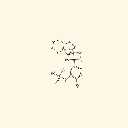 O=P(O)(O)Oc1cc(C2(O)OOC23C2CCCC3C3=C(CCCC3)C2)ccc1Cl